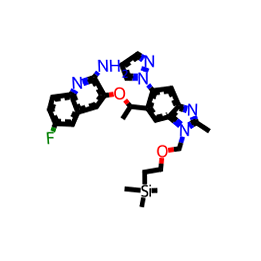 Cc1nc2cc(-n3cccn3)c(C(C)Oc3cc4cc(F)ccc4nc3N)cc2n1COCC[Si](C)(C)C